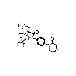 CCN(CC(F)(F)F)[C@@H](CN)C(=O)Nc1ccc(N2CCOCC2=O)cc1